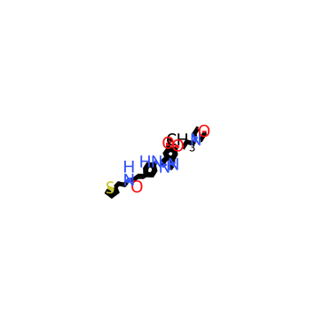 COc1cc2c(Nc3ccc(C=CC(=O)NCCc4cccs4)cc3)ncnc2cc1OCCCN1CCOCC1